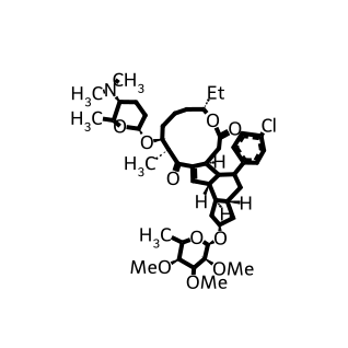 CC[C@H]1CCC[C@H](O[C@H]2CC[C@H](N(C)C)C(C)O2)[C@@H](C)C(=O)C2=C[C@@H]3C(C(c4ccc(Cl)cc4)C[C@@H]4C[C@@H](O[C@@H]5OC(C)[C@H](OC)C(OC)[C@@H]5OC)C[C@H]43)[C@@H]2CC(=O)O1